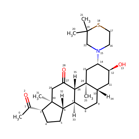 CC(=O)[C@H]1CC[C@H]2[C@@H]3CC[C@H]4C[C@H](O)[C@@H](N5CCSC(C)(C)C5)C[C@]4(C)[C@H]3C(=O)C[C@]12C